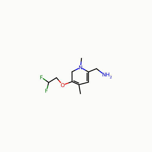 CC1=C(OCC(F)F)CN(C)C(CN)=C1